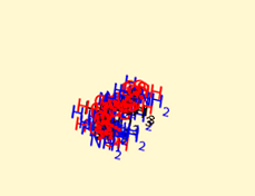 CC[C@H](C)[C@H](NC(=O)[C@H](CC(C)C)NC(=O)[C@H](CCC(=O)O)NC(=O)[C@H](CCC(N)=O)NC(=O)[C@H](CC(N)=O)NC(=O)[C@H](CCC(=O)O)NC(=O)[C@H](CCC(N)=O)NC(=O)[C@H](CC(C)C)NC(=O)[C@H](CCC(=O)O)NC(=O)[C@H](CCC(=O)O)NC(=O)[C@H](CCC(=O)O)NC(=O)CN)C(=O)N[C@@H](CCCNC(=N)N)C(=O)N[C@@H](CCC(=O)O)C(=O)N[C@@H](CCCCN)C(=O)N[C@@H](CO)C(=O)N[C@@H](CC(N)=O)C(N)=O